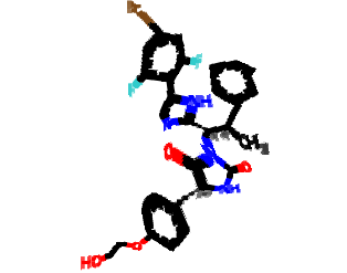 C[C@H](c1ccccc1)[C@@H](c1ncc(-c2c(F)cc(Br)cc2F)[nH]1)N1C(=O)N[C@H](c2ccc(OCCO)cc2)C1=O